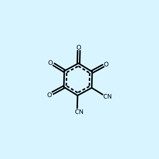 N#Cc1c(C#N)c(=O)c(=O)c(=O)c1=O